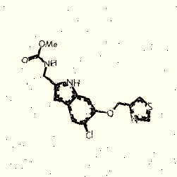 COC(=O)NCc1cc2cc(Cl)c(OCc3cscn3)cc2[nH]1